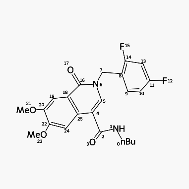 CCCCNC(=O)c1cn(Cc2ccc(F)cc2F)c(=O)c2cc(OC)c(OC)cc12